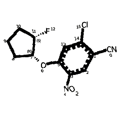 N#Cc1cc([N+](=O)[O-])c(O[C@@H]2CCC[C@@H]2F)cc1Cl